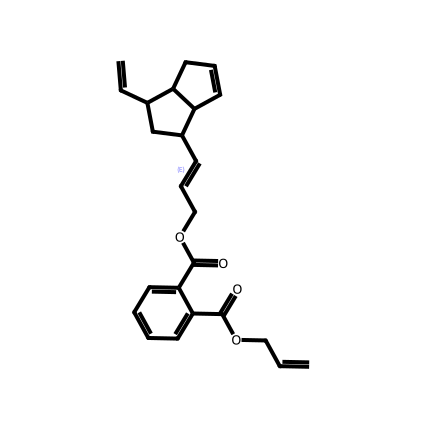 C=CCOC(=O)c1ccccc1C(=O)OC/C=C/C1CC(C=C)C2CC=CC12